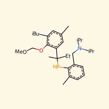 CCC(C)c1cc(C)cc(C(C)(CC)Pc2c(C)cccc2CN(C(C)C)C(C)C)c1OCOC